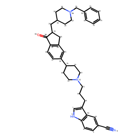 N#Cc1ccc2[nH]cc(CCCN3CCC(c4ccc5c(c4)CC(CC4CCN(Cc6ccccc6)CC4)C5=O)CC3)c2c1